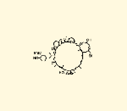 CO[C@@H]1C[C@H](C[C@@H](C)[C@@H]2CC(=O)[C@H](C)/C=C(\C)[C@@H](O)[C@@H](OC)C(=O)[C@H](C)C[C@H](C)/C=C/C=C/C3=C(\C)C(C[C@@H]4CC[C@@H](C)[C@@](O)(O4)C(=O)C(=O)N4CCCC[C@H]4C(=O)O2)OCC(O)COC(CO)C3)CC[C@H]1O